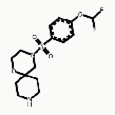 O=S(=O)(c1ccc(OC(F)F)cc1)N1CCOC2(CCNCC2)C1